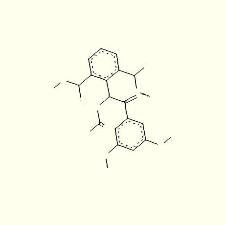 C=C(c1cc(OC)cc(OC)c1)C(OC(C)=O)c1c(C(N)OC)cccc1C(N)OC